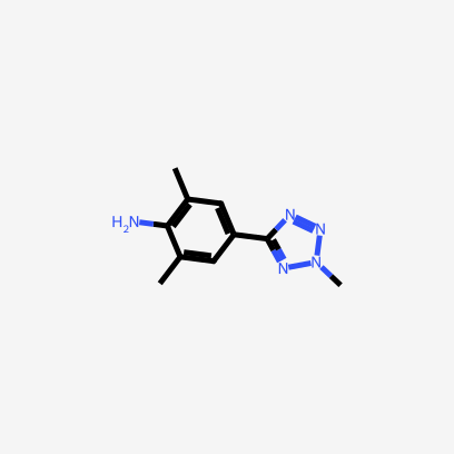 Cc1cc(-c2nnn(C)n2)cc(C)c1N